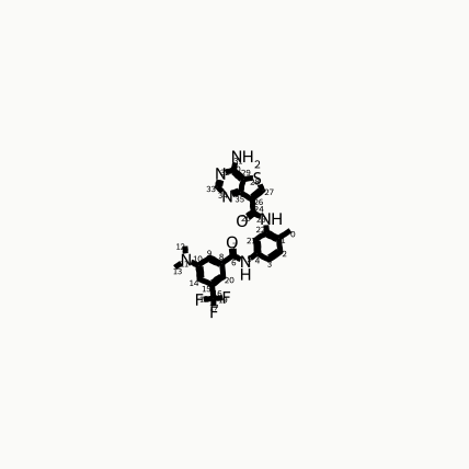 Cc1ccc(NC(=O)c2cc(N(C)C)cc(C(F)(F)F)c2)cc1NC(=O)c1csc2c(N)ncnc12